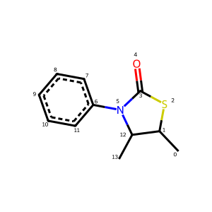 CC1SC(=O)N(c2ccccc2)C1C